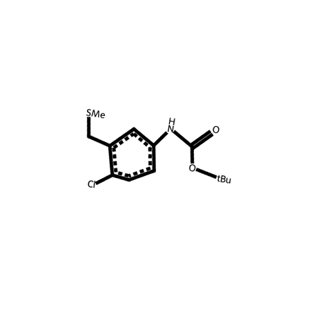 CSCc1cc(NC(=O)OC(C)(C)C)ccc1Cl